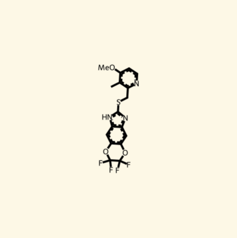 COc1ccnc(CSc2nc3cc4c(cc3[nH]2)OC(F)(F)C(F)(F)O4)c1C